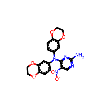 Nc1ncc([N+](=O)[O-])c(N(c2ccc3c(c2)OCCO3)c2ccc3c(c2)OCCO3)n1